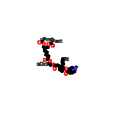 CC/C=C\CC1C(CC(=O)OCC(CCCCCCCC)OC(=O)CCCCC(COC(=O)CCCCC)COC(=O)CCCCC)CCC1OC(=O)C1(C)CCN(C)CC1